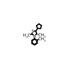 Cc1ccccc1N1C(C)SC(C2CCCC2)[C@@H]1C